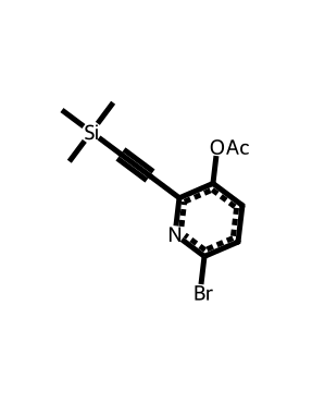 CC(=O)Oc1ccc(Br)nc1C#C[Si](C)(C)C